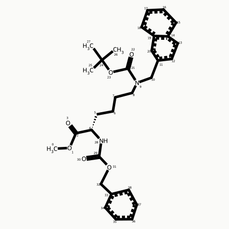 COC(=O)[C@H](CCCCN(Cc1ccc2ccccc2c1)C(=O)OC(C)(C)C)NC(=O)OCc1ccccc1